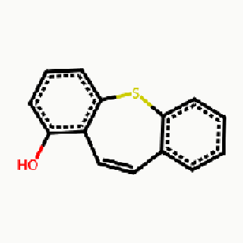 Oc1cccc2c1C=Cc1ccccc1S2